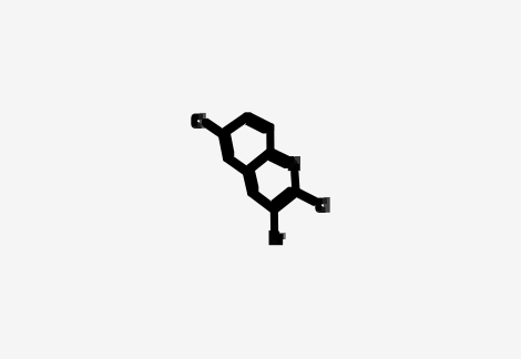 Clc1ccc2nc(Cl)c(Br)cc2c1